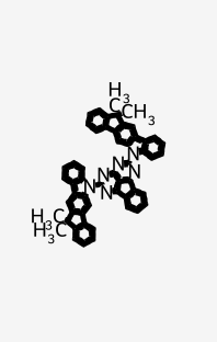 CC1(C)c2ccccc2-c2cc3c(cc21)c1ccccc1n3-c1nc2c3c(nc(-n4c5ccccc5c5cc6c(cc54)-c4ccccc4C6(C)C)nc3n1)-c1ccccc1-2